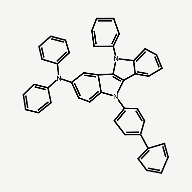 c1ccc(-c2ccc(-n3c4ccc(N(c5ccccc5)c5ccccc5)cc4c4c3c3ccccc3n4-c3ccccc3)cc2)cc1